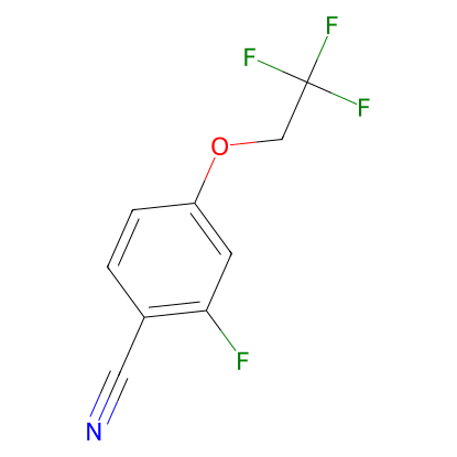 N#Cc1ccc(OCC(F)(F)F)cc1F